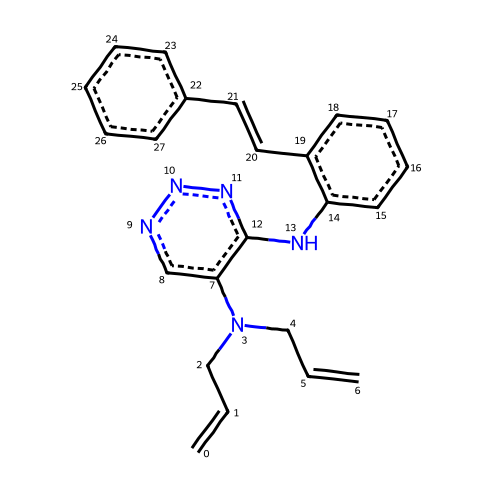 C=CCN(CC=C)c1cnnnc1Nc1ccccc1C=Cc1ccccc1